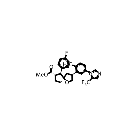 COC(=O)[C@H]1CC[C@@]2(C[C@@H](c3cc(-n4cncc4C(F)(F)F)ccc3C)CO2)[C@@H]1c1ccc(F)cc1